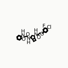 O=C(COc1ccc(Cl)c(F)c1)NC1C[C@H](NC(=O)C2Nc3ccccc3O2)C2CCC12